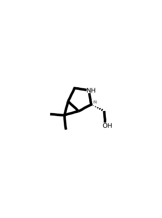 CC1(C)C2CN[C@H](CO)C21